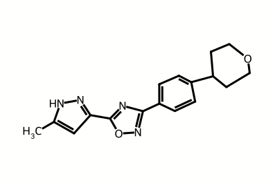 Cc1cc(-c2nc(-c3ccc(C4CCOCC4)cc3)no2)n[nH]1